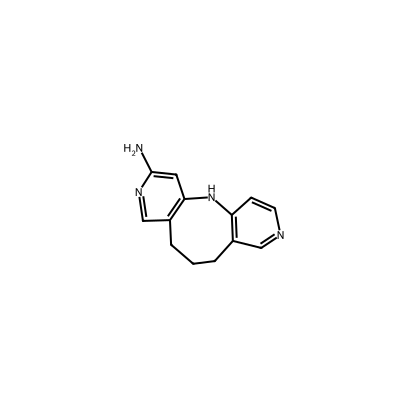 Nc1cc2c(cn1)CCCc1cnccc1N2